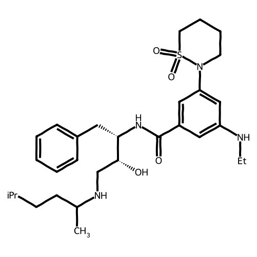 CCNc1cc(C(=O)N[C@@H](Cc2ccccc2)[C@H](O)CNC(C)CCC(C)C)cc(N2CCCCS2(=O)=O)c1